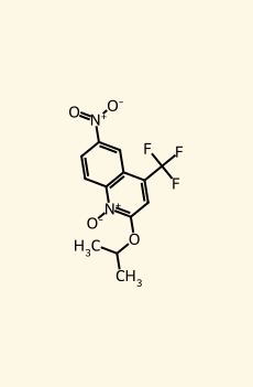 CC(C)Oc1cc(C(F)(F)F)c2cc([N+](=O)[O-])ccc2[n+]1[O-]